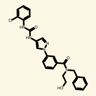 O=C(Nc1cnn(-c2cccc(C(=O)N(CCO)Cc3ccccc3)c2)c1)Nc1ccccc1Cl